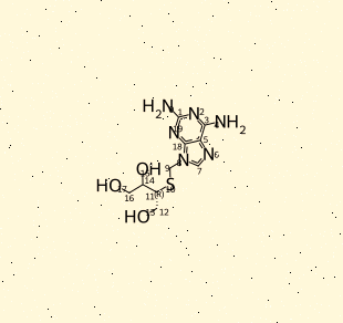 Nc1nc(N)c2ncn(CS[C@H](CO)C(O)CO)c2n1